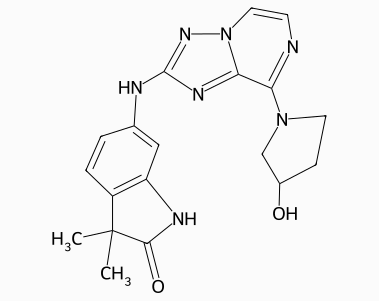 CC1(C)C(=O)Nc2cc(Nc3nc4c(N5CCC(O)C5)nccn4n3)ccc21